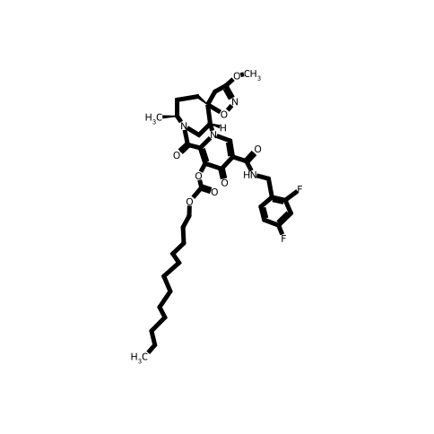 CCCCCCCCCCCCOC(=O)Oc1c2n(cc(C(=O)NCc3ccc(F)cc3F)c1=O)[C@@H]1CN(C2=O)[C@@H](C)CC[C@]12CC(OC)=NO2